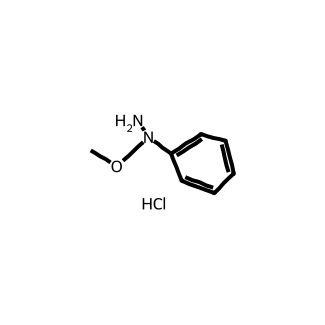 CON(N)c1ccccc1.Cl